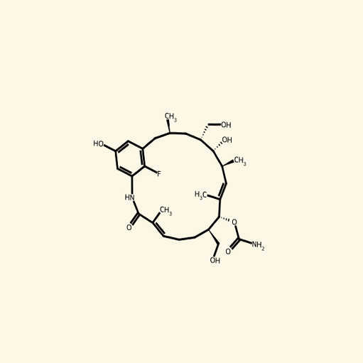 C/C1=C\CC[C@H](CO)[C@@H](OC(N)=O)/C(C)=C/[C@H](C)[C@@H](O)[C@@H](CO)C[C@H](C)Cc2cc(O)cc(c2F)NC1=O